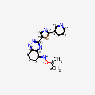 CC(C)O/N=C1\CCCc2nnc(-c3cnc(-c4cccnc4)s3)nc21